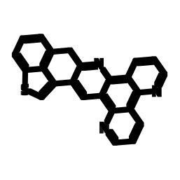 c1cc2c3c(csc3c1)-c1cc3c4ncccc4c4ncccc4c3nc1C2